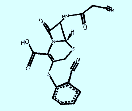 N#CCC(=O)N[C@@H]1C(=O)N2C(C(=O)O)=C(Sc3ccccc3C#N)CS[C@@H]12